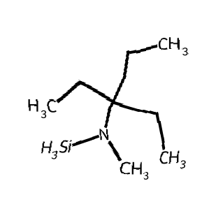 CCC(CC)(CC)N(C)[SiH3]